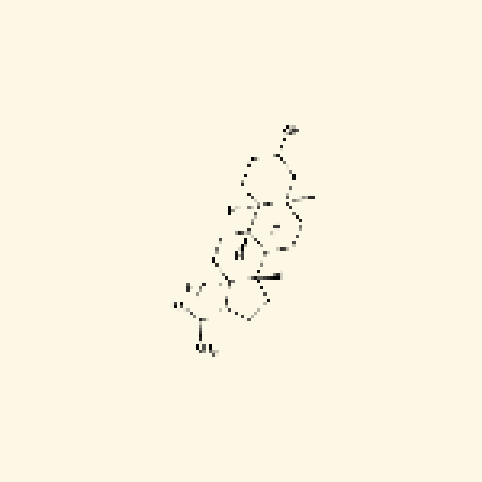 CC(O)[C@H]1CC[C@H]2[C@@H]3CC[C@@H]4CC(O)CC[C@@H]4[C@H]3CC[C@]12C